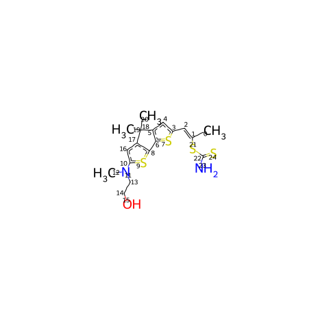 C/C(=C/c1cc2c(s1)-c1sc(N(C)CCO)cc1C2(C)C)SC(N)=S